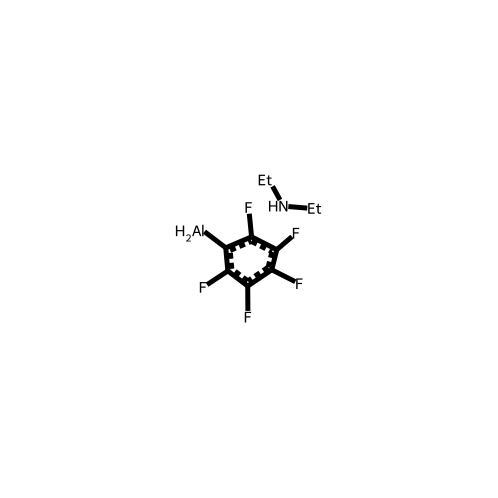 CCNCC.Fc1c(F)c(F)[c]([AlH2])c(F)c1F